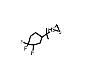 CC(C)(C1CCC(F)(F)C(F)C1)[SH]1CS1